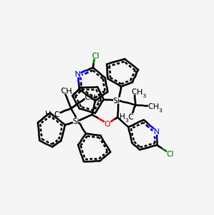 CC(C)(C)[Si](c1ccccc1)(c1ccccc1)C(OC(c1ccc(Cl)nc1)[Si](c1ccccc1)(c1ccccc1)C(C)(C)C)c1ccc(Cl)nc1